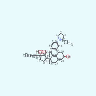 C[C@H]1CCCN1c1ccc([C@H]2C[C@@]3(C)[C@@H](CC[C@@]3(O)C#CC(C)(C)C)[C@@H]3CCC4=CC(=O)CCC4=C32)cc1